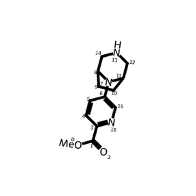 COC(=O)c1ccc(N2C3CCC2CNC3)cn1